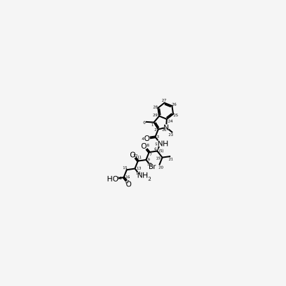 Cc1c(C(=O)N[C@H](C(=O)C(Br)C(=O)C(N)CC(=O)O)C(C)C)n(C)c2ccccc12